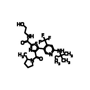 CC1CCCN1C(=O)c1nc(C(=O)NCCO)sc1-c1cnc(NC(C)(C)C)cc1C(F)(F)F